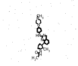 C=CC(=O)NC1=CC=CC(c2cccc3cnc(Nc4ccc(N5CCN(C)CC5)cc4)nc23)C1C